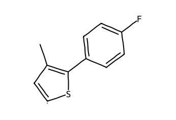 Cc1c[c]sc1-c1ccc(F)cc1